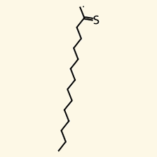 [CH2]C(=S)CCCCCCCCCCCCC